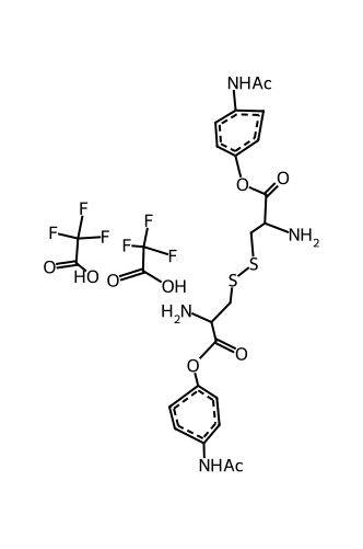 CC(=O)Nc1ccc(OC(=O)C(N)CSSCC(N)C(=O)Oc2ccc(NC(C)=O)cc2)cc1.O=C(O)C(F)(F)F.O=C(O)C(F)(F)F